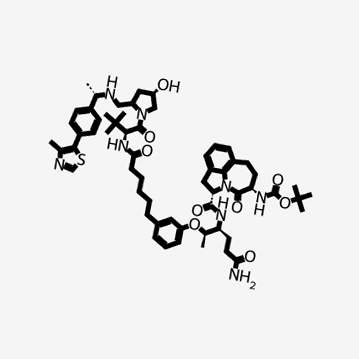 Cc1ncsc1-c1ccc([C@H](C)NCC2C[C@@H](O)CN2C(=O)[C@@H](NC(=O)CCCCCc2cccc(O[C@H](C)[C@H](CCC(N)=O)NC(=O)[C@@H]3Cc4cccc5c4N3C(=O)[C@@H](NC(=O)OC(C)(C)C)CC5)c2)C(C)(C)C)cc1